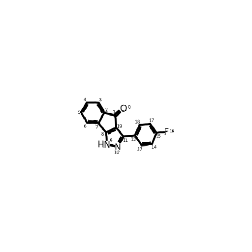 O=C1c2ccccc2-c2[nH]nc(-c3ccc(F)cc3)c21